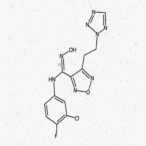 O/N=C(/Nc1ccc(F)c(Cl)c1)c1nonc1CCn1ncnn1